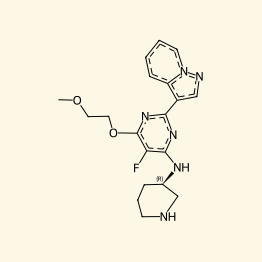 COCCOc1nc(-c2cnn3ccccc23)nc(N[C@@H]2CCCNC2)c1F